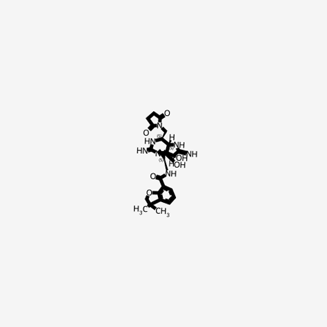 CC1(C)COc2c(C(=O)N[C@H]3CN4C(=N)N[C@@H](CN5C(=O)CCC5=O)[C@@H]5NC(=N)NC54C3(O)O)cccc21